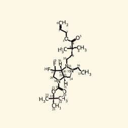 C=CCOC(=O)C(C)(C)CCN1[C@@H]2[C@H](CN1CC)N(C(=O)OC(C)(C)C)CC2(F)F